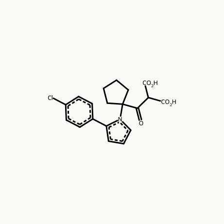 O=C(O)C(C(=O)O)C(=O)C1(n2cccc2-c2ccc(Cl)cc2)CCCC1